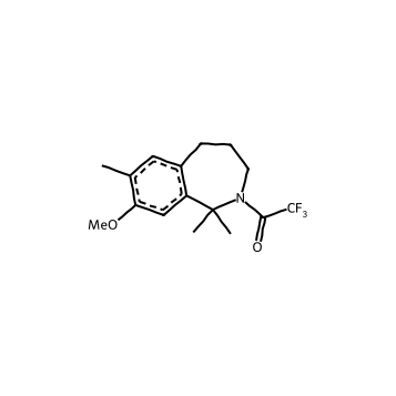 COc1cc2c(cc1C)CCCN(C(=O)C(F)(F)F)C2(C)C